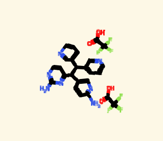 Nc1ccc(C(c2ccnc(N)n2)C(c2cccnc2)c2cccnc2)cn1.O=C(O)C(F)(F)F.O=C(O)C(F)(F)F